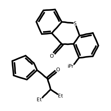 CC(C)c1cccc2sc3ccccc3c(=O)c12.CCC(CC)C(=O)c1ccccc1